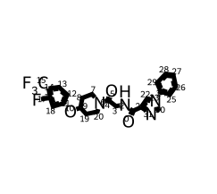 O=C(NCC(=O)N1CCC(Oc2ccc(C(F)(F)F)c(F)c2)CC1)c1cn(-c2ccccc2)cn1